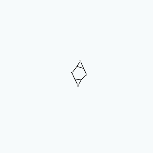 S1C2SC3SC3SC12